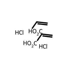 C=CC(=O)O.C=CC(=O)O.Cl.Cl